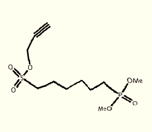 C#CCOS(=O)(=O)CCCCCCP(=O)(OC)OC